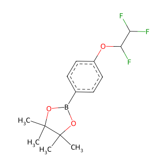 CC1(C)OB(c2ccc(OC(F)C(F)F)cc2)OC1(C)C